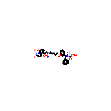 O=C(O)NC(c1ccccc1)c1cccc(OCCCCCNC[C@@H](O)c2ccc(O)c3[nH]c(=O)ccc23)c1